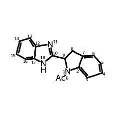 CC(=O)N1c2ccccc2CC1c1nc2ccccc2[nH]1